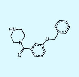 O=C(c1cccc(OCc2ccccc2)c1)N1CCNCC1